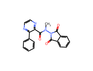 CN(C(=O)c1nccnc1-c1ccccc1)N1C(=O)c2ccccc2C1=O